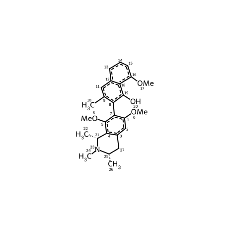 COc1cc2c(c(OC)c1-c1c(C)cc3cccc(OC)c3c1O)[C@@H](C)N(C)[C@@H](C)C2